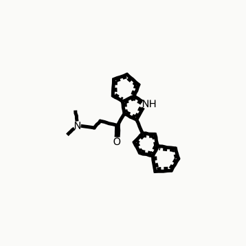 CN(C)CCC(=O)c1c(-c2ccc3ccccc3c2)[nH]c2ccccc12